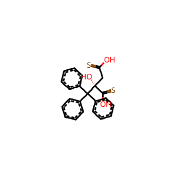 OC(=S)C[C@@](O)(C(O)=S)C(c1ccccc1)(c1ccccc1)c1ccccc1